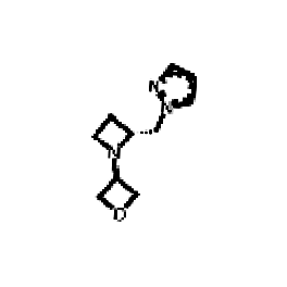 c1cnn(C[C@H]2CCN2C2COC2)c1